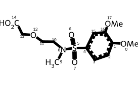 COc1ccc(S(=O)(=O)N(C)CCOCC(=O)O)cc1OC